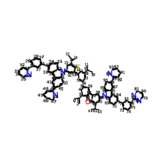 CC(C)c1cc(-c2cc(C(C)C)c3sc4c(C(C)C)cc(-n5c6ccc(-c7cccc(-c8ccccn8)c7)cc6c6cc(-c7ccccn7)ccc65)cc4c3c2)cc2c1oc1c(C(C)C)cc(-n3c4ccc(-c5cccc(-c6ncccn6)c5)cc4c4cc(-c5ccccn5)ccc43)cc12